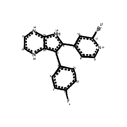 Fc1ccc(-c2c(-c3ccnc(Br)c3)[nH]c3nccnc23)cc1